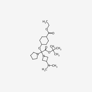 CCOC(=O)C1CCC(OC(C(=O)OC(C)(C)C)(N2CCCC2)N2CC(N(C)C)C2)CC1